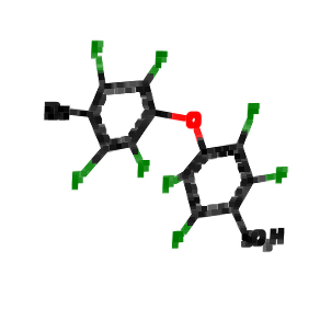 CCC(C)c1c(F)c(F)c(Oc2c(F)c(F)c(S(=O)(=O)O)c(F)c2F)c(F)c1F